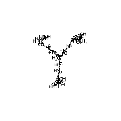 COC(OCCCCC(=O)NCCCNC(=O)CCOCC(C)(COCCC(=O)NCCCNC(=O)CCCCOC1OC(COP(=O)(O)O)C(O)C(O)C1O)COCCC(=O)NCCCNC(=O)CCCCOC1OC(COP(=O)(O)O)C(O)C(O)C1O)C(O)C(O)C(O)C(C)COP(=O)(O)O